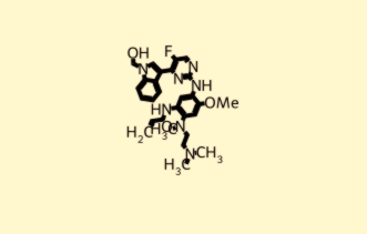 C=CC(=O)Nc1cc(Nc2ncc(F)c(-c3cn(CO)c4ccccc34)n2)c(OC)cc1N(C)CCN(C)C